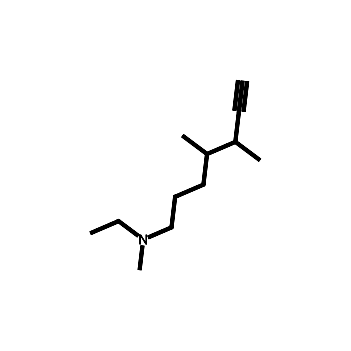 C#CC(C)C(C)CCCN(C)CC